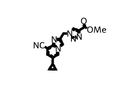 COC(=O)c1cn(Cc2cn3cc(C4CC4)cc(C#N)c3n2)nn1